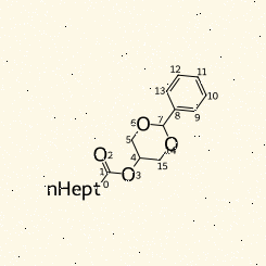 CCCCCCCC(=O)OC1COC(c2ccccc2)OC1